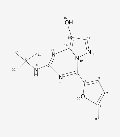 Cc1ccc(-c2nc(NC(C)(C)C)nc3c(O)cnn23)o1